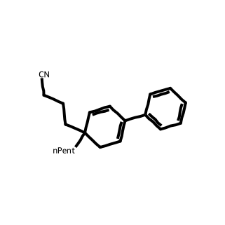 CCCCCC1(CCCC#N)C=CC(c2ccccc2)=CC1